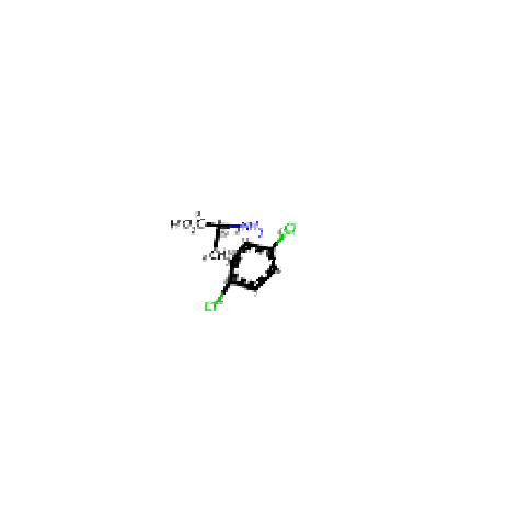 C[C@H](N)C(=O)O.Clc1ccc(Cl)cc1